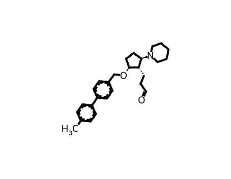 Cc1ccc(-c2ccc(CO[C@@H]3CC[C@@H](N4CCCCC4)[C@@H]3CCC=O)cc2)cc1